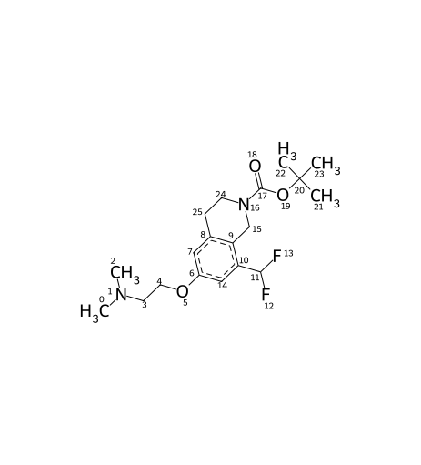 CN(C)CCOc1cc2c(c(C(F)F)c1)CN(C(=O)OC(C)(C)C)CC2